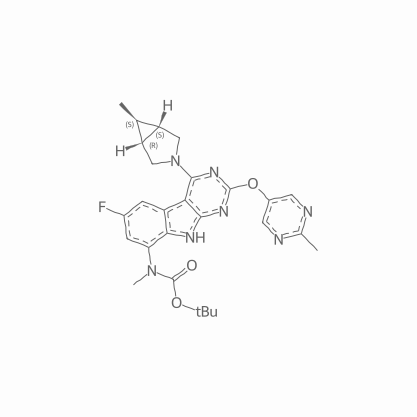 Cc1ncc(Oc2nc(N3C[C@@H]4[C@@H](C)[C@@H]4C3)c3c(n2)[nH]c2c(N(C)C(=O)OC(C)(C)C)cc(F)cc23)cn1